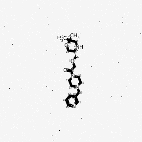 CC1(C)CN[C@H](COCC(=O)N2CCN(Cc3cccnc3)CC2)CO1